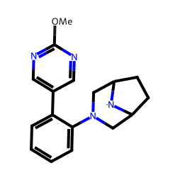 COc1ncc(-c2ccccc2N2CC3CCC(C2)[N]3)cn1